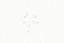 NC(=NOCC1CC1)c1c(F)cccc1OC(F)F